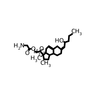 CCCCC(O)/C=C1/CCC2C(=CC[C@@]3(C)C2C[C@H](C)[C@]3(C)C(=O)COC(=O)CN)C1